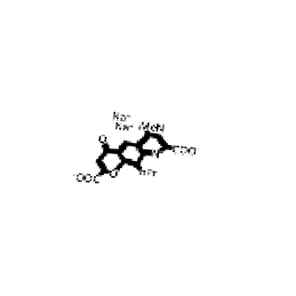 CCCc1c2nc(C(=O)[O-])cc(NC)c2cc2c(=O)cc(C(=O)[O-])oc12.[Na+].[Na+]